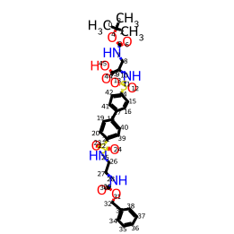 CC(C)(C)OC(=O)NCC(NS(=O)(=O)c1ccc(-c2ccc(S(=O)(=O)NCCNC(=O)OCc3ccccc3)cc2)cc1)C(=O)O